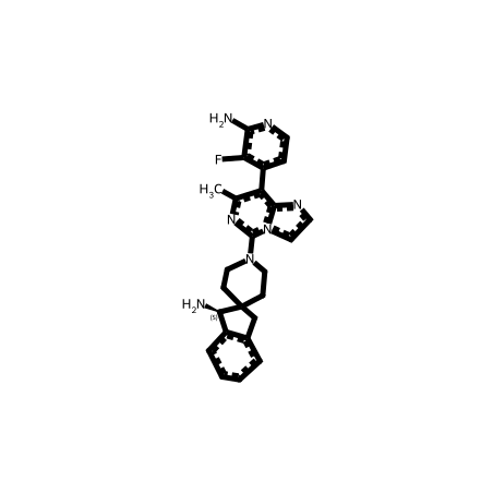 Cc1nc(N2CCC3(CC2)Cc2ccccc2[C@H]3N)n2ccnc2c1-c1ccnc(N)c1F